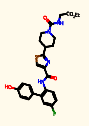 CCOC(=O)CNC(=O)N1CCC(c2nc(C(=O)Nc3ccc(F)cc3-c3ccc(O)cc3)cs2)CC1